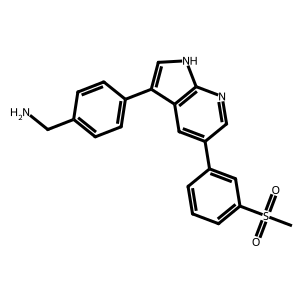 CS(=O)(=O)c1cccc(-c2cnc3[nH]cc(-c4ccc(CN)cc4)c3c2)c1